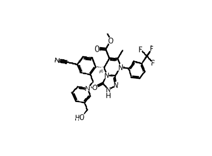 COC(=O)C1=C(C)N(c2cccc(C(F)(F)F)c2)c2n[nH]c(=O)n2[C@@H]1c1ccc(C#N)cc1C[n+]1cccc(CO)c1